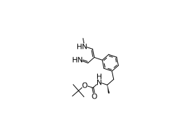 CN/C=C(\C=N)c1cccc(C[C@@H](C)NC(=O)OC(C)(C)C)c1